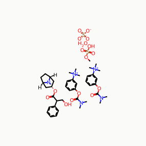 CN(C)C(=O)Oc1cccc([N+](C)(C)C)c1.CN(C)C(=O)Oc1cccc([N+](C)(C)C)c1.CN1[C@@H]2CC[C@H]1C[C@@H](OC(=O)C(CO)c1ccccc1)C2.COS(=O)(=O)O.O.O=S(=O)([O-])[O-]